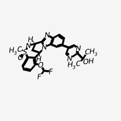 CC(C)(O)c1ncc(-c2ccc3nc4n(c3c2)[C@@H]2C[C@H]4N=[S@@](C)(=O)c3cccc(OC(F)F)c32)cn1